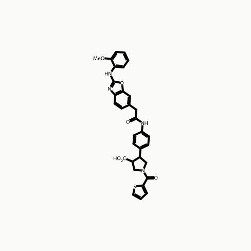 COc1ccccc1Nc1nc2ccc(CC(=O)Nc3ccc(C4CN(C(=O)c5cccs5)CC4C(=O)O)cc3)cc2o1